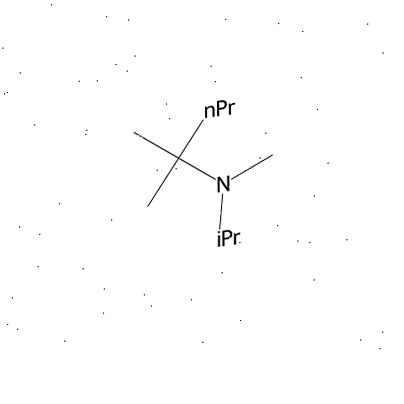 CCCC(C)(C)N(C)C(C)C